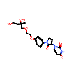 CC(O)(CCO)COCCOc1ccc(N2CCC(n3ccc(=O)[nH]c3=O)C2=O)cc1